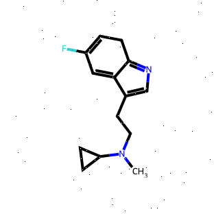 CN(CCC1=CN=C2CC=C(F)C=C12)C1CC1